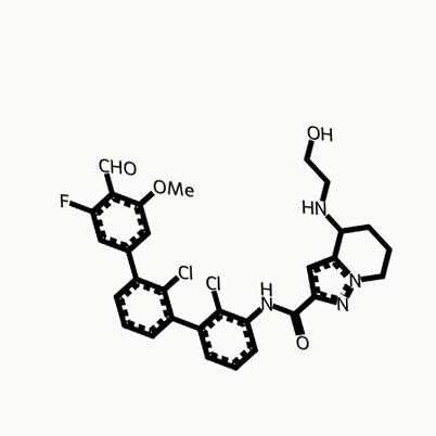 COc1cc(-c2cccc(-c3cccc(NC(=O)c4cc5n(n4)CCCC5NCCO)c3Cl)c2Cl)cc(F)c1C=O